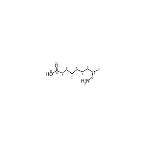 CC(CN)CCCCCCC(=O)O